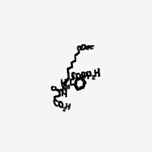 CC(=O)O.CCCCCCCCCCCCCCCCCCNC(=O)CCC(=O)O.O=C(O)c1ccccc1